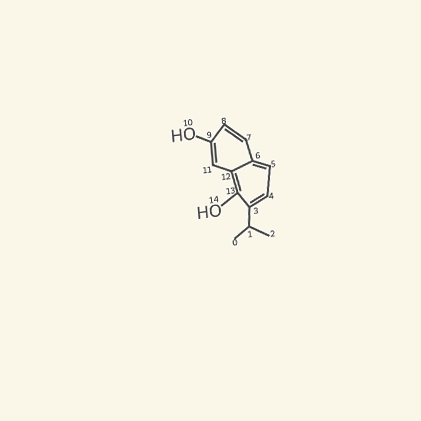 CC(C)c1ccc2ccc(O)cc2c1O